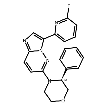 Fc1cccc(-c2cnc3ccc(N4CCOC[C@@H]4c4ccccc4)nn23)n1